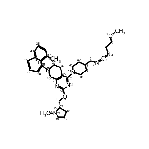 COCCN=C=NCC1CCN(c2nc(OC[C@@H]3CCCN3C)nc3c2CCN(c2cccc4cccc(C)c24)C3)CC1